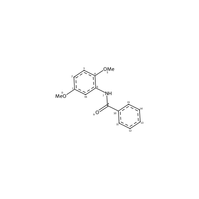 COc1[c]cc(OC)c(NC(=O)c2ccccc2)c1